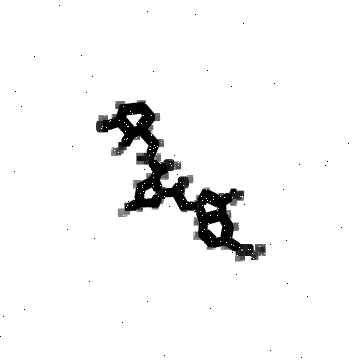 CC(=O)c1cn(CC(=O)N2CC(F)CC2C(=O)NCc2cccc(Cl)c2F)c2ccc(C(=O)O)cc12